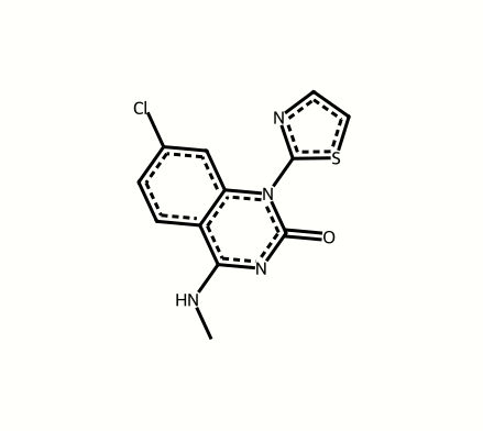 CNc1nc(=O)n(-c2nccs2)c2cc(Cl)ccc12